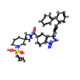 C=CS(=O)(=O)N1CCCC2(CN(C(=O)c3ccc4[nH]nc(C#Cc5ccccc5-c5ccccc5)c4c3)C2)C1